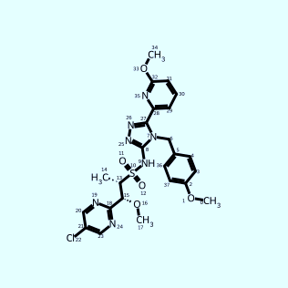 COc1ccc(Cn2c(NS(=O)(=O)[C@@H](C)[C@H](OC)c3ncc(Cl)cn3)nnc2-c2cccc(OC)n2)cc1